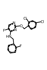 Fc1ccccc1CNc1nc(OCc2ccc(Cl)cc2Cl)ncc1F